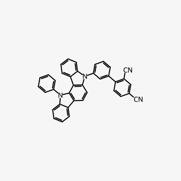 N#Cc1ccc(-c2cccc(-n3c4ccccc4c4c3ccc3c5ccccc5n(-c5ccccc5)c34)c2)c(C#N)c1